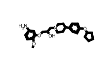 COc1ccc(N)cc1OCC(O)CN1CCC(c2ccc(OC3CCCC3)cc2)CC1